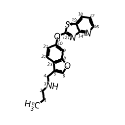 CCCNCc1coc2cc(Oc3nc4ncccc4s3)ccc12